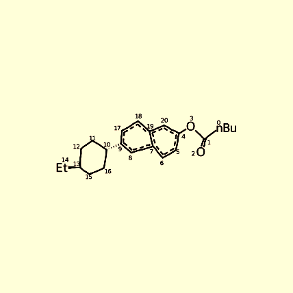 CCCCC(=O)Oc1ccc2cc([C@H]3CC[C@H](CC)CC3)ccc2c1